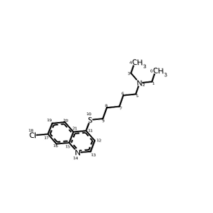 CCN(CC)CCCCCSc1ccnc2cc(Cl)ccc12